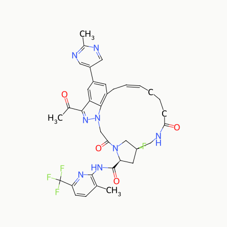 CC(=O)c1nn2c3c(cc(-c4cnc(C)nc4)cc13)CC=CCCCC(=O)NC[C@]1(F)C[C@@H](C(=O)Nc3nc(C(F)(F)F)ccc3C)N(C1)C(=O)C2